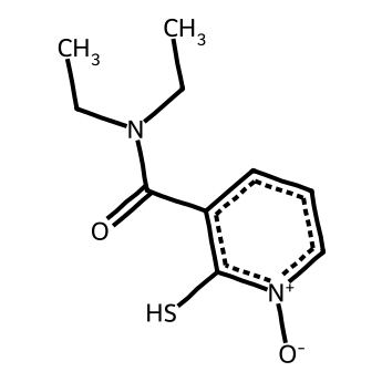 CCN(CC)C(=O)c1ccc[n+]([O-])c1S